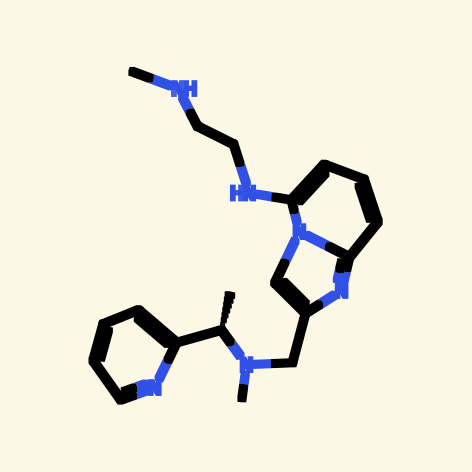 CNCCNc1cccc2nc(CN(C)[C@@H](C)c3ccccn3)cn12